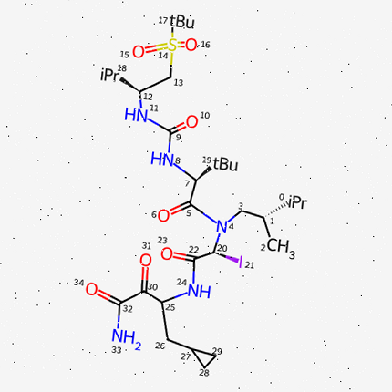 CC(C)[C@H](C)CN(C(=O)[C@@H](NC(=O)N[C@H](CS(=O)(=O)C(C)(C)C)C(C)C)C(C)(C)C)[C@@H](I)C(=O)NC(CC1CC1)C(=O)C(N)=O